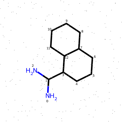 NC(N)C1CCCC2CCCCC21